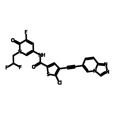 O=C(Nc1cc(F)c(=O)n(CC(F)F)c1)c1cc(C#Cc2ccc3nncn3c2)c(Cl)s1